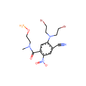 CN(CCOP)C(=O)c1cc(N(CCBr)CCBr)c(C#N)cc1[N+](=O)[O-]